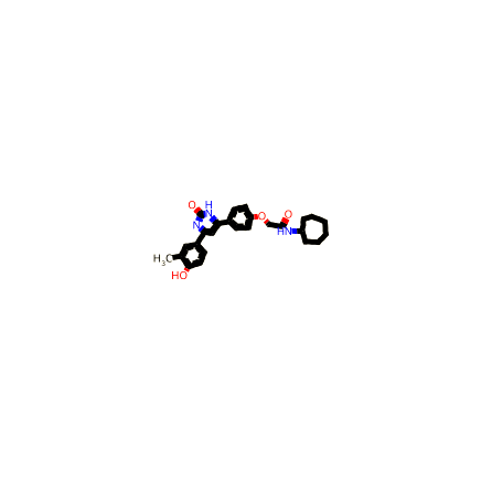 Cc1cc(-c2cc(-c3ccc(OCC(=O)NC4CCCCCC4)cc3)[nH]c(=O)n2)ccc1O